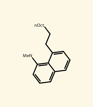 CCCCCCCCCCc1cccc2cccc(NC)c12